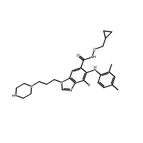 Cc1ccc(Nc2c(C(=O)NOCC3CC3)cc3c(ncn3CCCN3CCNCC3)c2F)c(C)c1